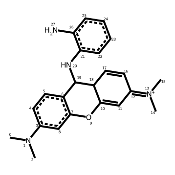 CN(C)c1ccc2c(c1)OC1=CC(=[N+](C)C)C=CC1C2Nc1ccccc1N